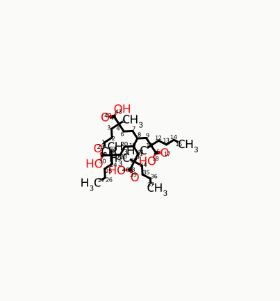 CCCCC(C)(CCC(CC(C)(CCCC)C(=O)O)C(CCC(C)(CCCC)C(=O)O)CC(C)(CCCC)C(=O)O)C(=O)O